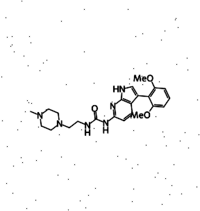 COc1cccc(OC)c1-c1c[nH]c2nc(NC(=O)NCCN3CCN(C)CC3)ccc12